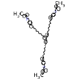 CCOC(=O)/C=C/c1ccc(OCCCCCCCCCOCC(COCCCCCCCCCOc2ccc(/C=C/C(=O)OCC)cc2)OCCCCCCCCCOc2ccc(/C=C/C(=O)OCC)cc2)cc1